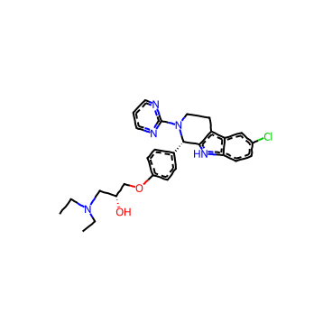 CCN(CC)C[C@@H](O)COc1ccc([C@H]2c3[nH]c4ccc(Cl)cc4c3CCN2c2ncccn2)cc1